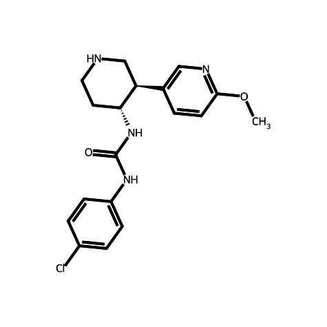 COc1ccc([C@@H]2CNCC[C@H]2NC(=O)Nc2ccc(Cl)cc2)cn1